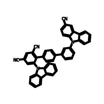 N#Cc1cc(C#N)c(-c2ccc(-c3cccc(-n4c5ccccc5c5cc(C#N)ccc54)c3)cc2)c(-n2c3ccccc3c3ccccc32)c1